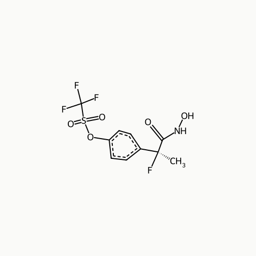 C[C@@](F)(C(=O)NO)c1ccc(OS(=O)(=O)C(F)(F)F)cc1